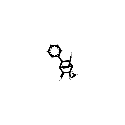 O=C1C2C=C(I)C(CC2c2ccccc2)[C@@]12CO2